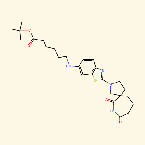 CC(C)(C)OC(=O)CCCCCNc1ccc2nc(N3CCC4(CCCC(=O)NC4=O)C3)sc2c1